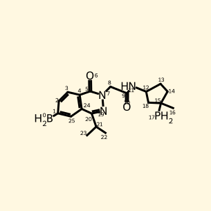 Bc1ccc2c(=O)n(CC(=O)NC3CCC(C)(P)C3)nc(C(C)C)c2c1